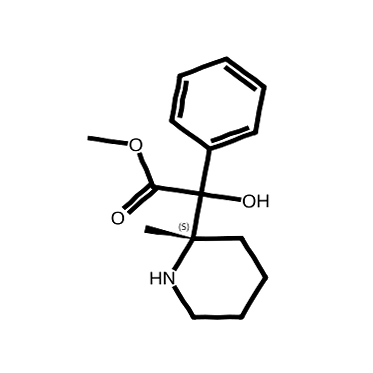 COC(=O)C(O)(c1ccccc1)[C@]1(C)CCCCN1